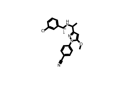 COc1cc(C(C)N[C@H](C)c2cccc(Cl)c2)nn1-c1ccc(C#N)cc1